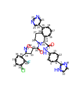 O=C(Nc1ccc(-c2ncc[nH]2)cc1)[C@@H]1c2cccc(-c3cncnc3)c2CCN1C(=O)C1CC(c2cccc(Cl)c2F)=NO1